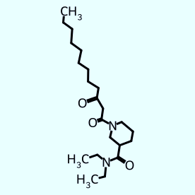 CCCCCCCCCC(=O)CC(=O)N1CCCC(C(=O)N(CC)CC)C1